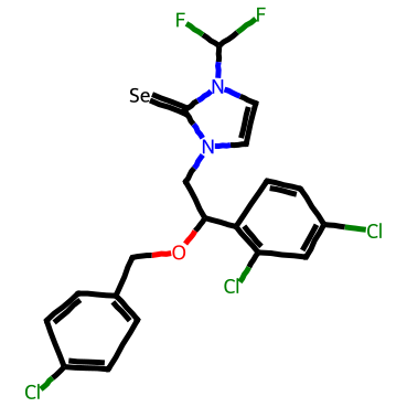 FC(F)n1ccn(CC(OCc2ccc(Cl)cc2)c2ccc(Cl)cc2Cl)c1=[Se]